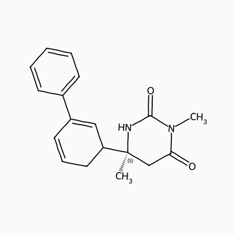 CN1C(=O)C[C@@](C)(C2C=C(c3ccccc3)C=CC2)NC1=O